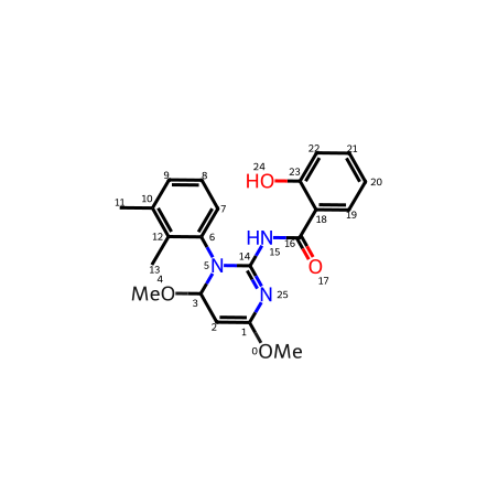 COC1=CC(OC)N(c2cccc(C)c2C)C(NC(=O)c2ccccc2O)=N1